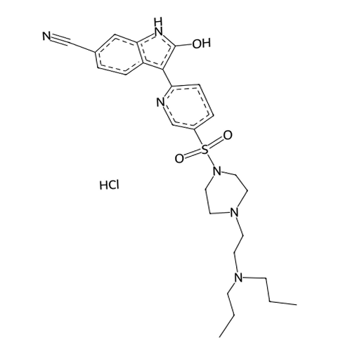 CCCN(CCC)CCN1CCN(S(=O)(=O)c2ccc(-c3c(O)[nH]c4cc(C#N)ccc34)nc2)CC1.Cl